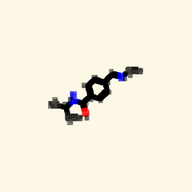 CON=Cc1ccc(C(=O)NC(C#N)OC)cc1